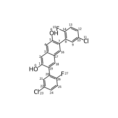 Oc1cc2cc(O)c(-c3cc(Cl)ccc3F)cc2cc1-c1cc(Cl)ccc1F